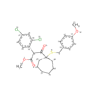 COC(=O)C(C(=O)C1(SCc2ccc(OC)cc2)CCCCCC1)c1ccc(Cl)cc1Cl